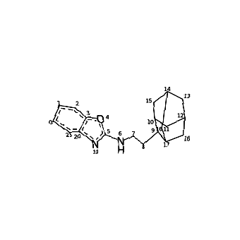 c1ccc2oc(NCCC3C4CC5CC(C4)CC3C5)nc2c1